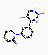 O=c1ccccn1-c1cccc(-c2nc(Cl)ncc2Cl)c1